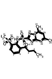 CCCC(=O)c1cccc(S(C)(=O)=O)c1NS(=O)(=O)c1nc2nc(C)cc(C)n2n1